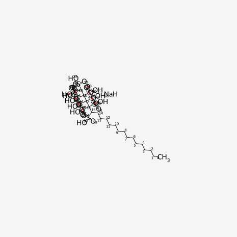 CCCCCCCCCCCCCCCC(C(C(C(C(S(=O)(=O)O)(S(=O)(=O)O)S(=O)(=O)O)(S(=O)(=O)O)S(=O)(=O)O)(S(=O)(=O)O)S(=O)(=O)O)(S(=O)(=O)O)S(=O)(=O)O)S(=O)(=O)O.[NaH]